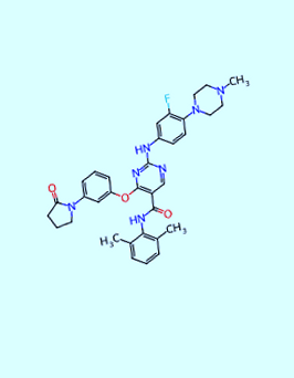 Cc1cccc(C)c1NC(=O)c1cnc(Nc2ccc(N3CCN(C)CC3)c(F)c2)nc1Oc1cccc(N2CCCC2=O)c1